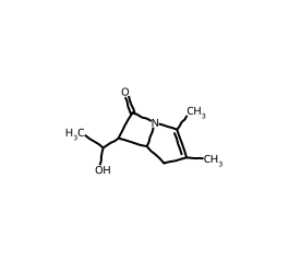 CC1=C(C)N2C(=O)C(C(C)O)C2C1